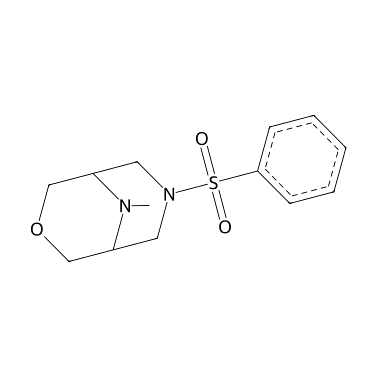 CN1C2COCC1CN(S(=O)(=O)c1ccccc1)C2